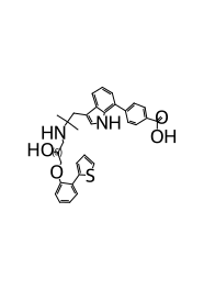 CC(C)(Cc1c[nH]c2c(-c3ccc(C(=O)O)cc3)cccc12)NC[C@H](O)COc1ccccc1-c1cccs1